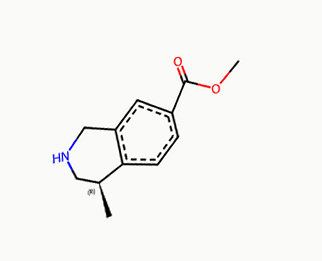 COC(=O)c1ccc2c(c1)CNC[C@@H]2C